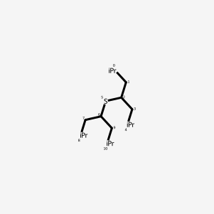 CC(C)CC(CC(C)C)SC(CC(C)C)CC(C)C